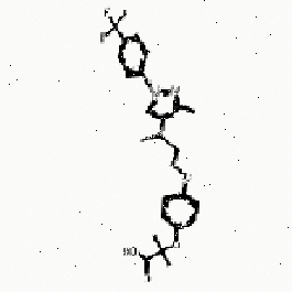 Cc1nn(-c2ccc(C(F)(F)F)cc2)cc1C(C)CCOc1ccc(OC(C)(C)C(=O)O)cc1